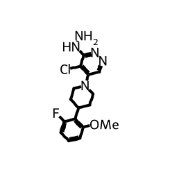 COc1cccc(F)c1C1CCN(c2cnnc(NN)c2Cl)CC1